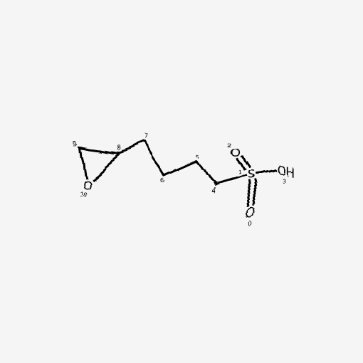 O=S(=O)(O)CCCCC1CO1